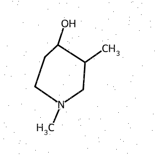 CC1CN(C)CCC1O